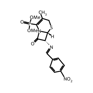 COP(=O)(OC)C1=C(C)CS[C@@H]2[C@H](/N=C/c3ccc([N+](=O)[O-])cc3)C(=O)N12